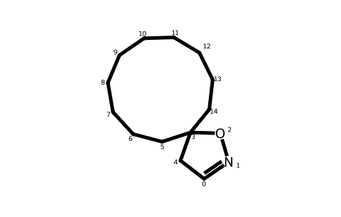 C1=NOC2(C1)CCCCCCCCCC2